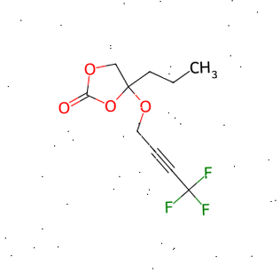 CCCC1(OCC#CC(F)(F)F)COC(=O)O1